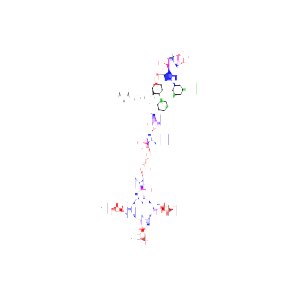 [2H]OC(=O)CN1CCN(CC(=O)NCCOCCOCC(=O)NCCO/N=C(\C)c2cccc(-c3cc4c(cc3OC)OCc3c(C(=O)N5CCOCC5(C)C)nn(-c5cc(Cl)cc(Cl)c5)c3-4)c2)CCN(CC(=O)O[2H])CCN(CC(=O)O[2H])CC1